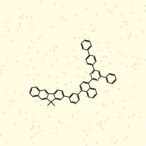 CC1(C)c2cc(-c3cccc(-c4ccc(-c5nc(-c6ccccc6)cc(-c6ccc(-c7ccccc7)cc6)n5)c5ccccc45)c3)ccc2-c2cc3ccccc3cc21